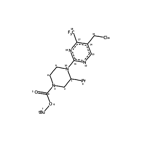 CC(C)C1CN(C(=O)OC(C)(C)C)CCN1c1ncc(CCl)c(C(F)(F)F)n1